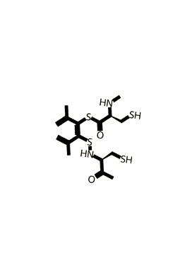 C=C(C)/C(SN[C@@H](CS)C(C)=O)=C(/SC(=O)[C@H](CS)NC)C(=C)C